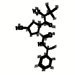 C[C@H](NC(=O)[C@@H]1C[C@@H](O)CN1C(=O)[C@@H](N)C(C)(C)C)c1ccccc1